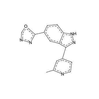 Cc1cc(-c2n[nH]c3ccc(-c4nnco4)cc23)ccn1